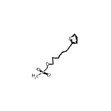 CS(=O)(=O)OCCCCCc1cccs1